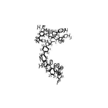 Cc1cc([C@H](CCCOc2ccc(-c3cnc4[nH]cc(C(=O)c5c(F)ccc(N(N6CC[C@@H](F)C6)[SH](=O)=O)c5F)c4c3)cc2)C(=O)N2C[C@H](O)C[C@H]2C(=O)N[C@@H](C)c2ccc(-c3scnc3C)cc2)on1